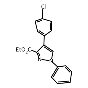 CCOC(=O)c1nn(-c2ccccc2)cc1-c1ccc(Cl)cc1